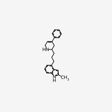 Cc1cc2c(CCCC3CC(c4ccccc4)=CCN3)cccc2[nH]1